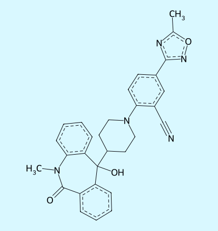 Cc1nc(-c2ccc(N3CCC(C4(O)c5ccccc5C(=O)N(C)c5ccccc54)CC3)c(C#N)c2)no1